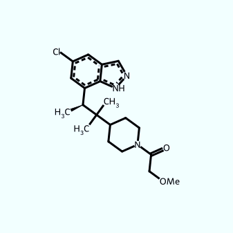 COCC(=O)N1CCC(C(C)(C)[C@@H](C)c2cc(Cl)cc3cn[nH]c23)CC1